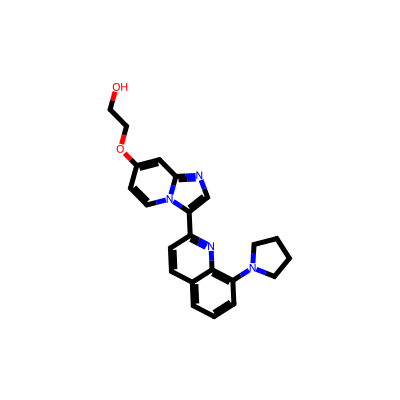 OCCOc1ccn2c(-c3ccc4cccc(N5CCCC5)c4n3)cnc2c1